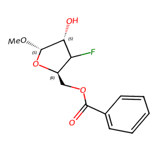 CO[C@H]1O[C@H](COC(=O)c2ccccc2)C(F)[C@H]1O